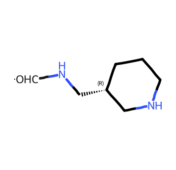 O=[C]NC[C@@H]1CCCNC1